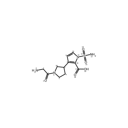 NCC(=O)N1CCC(c2ccn(S(N)(=O)=O)c2C(=O)O)C1